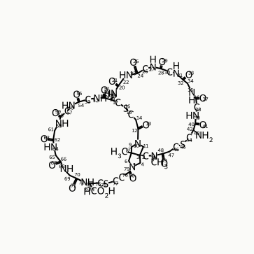 CN1C[C@@]23CN4CC2(C)CN(C3)C(=O)CCSC[C@H](NC(=O)CNC(=O)CNC(=O)CNC(=O)CNC(=O)CNC(=O)[C@@H](N)CSCCC1=O)C(=O)NCC(=O)NCC(=O)NCC(=O)NCC(=O)NCC(=O)N[C@H](C(=O)O)CSCCC4=O